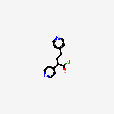 O=C(Cl)C(CCc1ccncc1)c1ccncc1